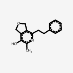 Cc1nc(CCc2ccccc2)c2c(c1O)COC2